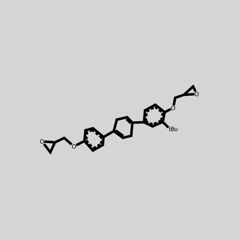 CC(C)(C)c1cc(C2=CCC(c3ccc(OCC4CO4)cc3)=CC2)ccc1OCC1CO1